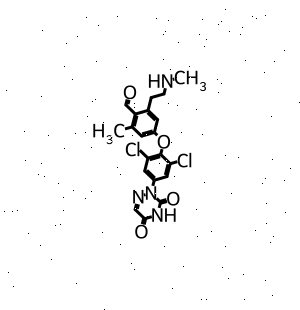 CNCCc1cc(Oc2c(Cl)cc(-n3ncc(=O)[nH]c3=O)cc2Cl)cc(C)c1C=O